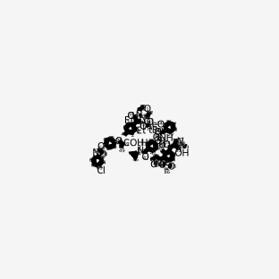 CCc1cc(C)cc(CC)c1-c1c(OC(=O)C(C)(C)C)n2n(c1=O)CCOCC2.COc1ccccc1C(=O)NS(=O)(=O)c1ccc(C(=O)NC2CC2)cc1.C[C@@H](Oc1ccc(Oc2nc3ccc(Cl)cc3o2)cc1)C(=O)O.Cc1c(C(=O)c2cnn(C)c2O)ccc(S(C)(=O)=O)c1C1=NOCC1